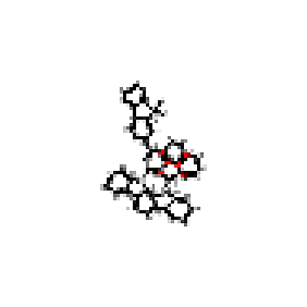 CC1(C)c2ccccc2-c2ccc(-c3nc(-c4ccccc4)nc(-n4c5ccccc5c5ccc6c7ccccc7n(-c7nc8ccccc8o7)c6c54)n3)cc21